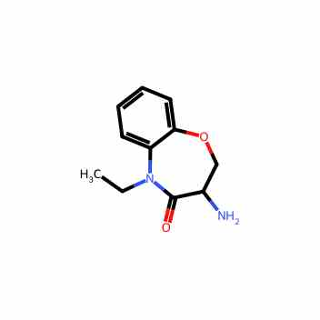 CCN1C(=O)C(N)COc2ccccc21